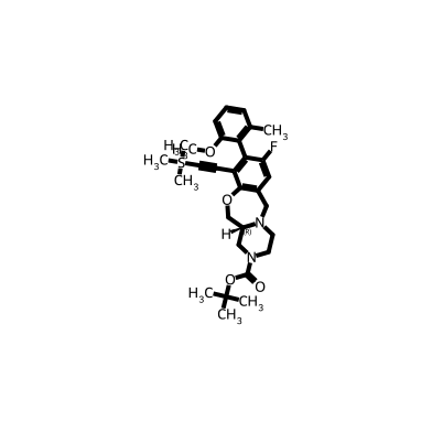 COc1cccc(C)c1-c1c(F)cc2c(c1C#CS(C)(C)C)OC[C@H]1CN(C(=O)OC(C)(C)C)CCN1C2